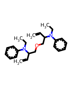 C=CC(COCC(C=C)N(CC)c1ccccc1)N(CC)c1ccccc1